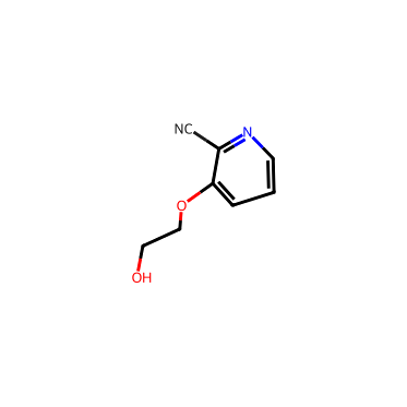 N#Cc1ncccc1OCCO